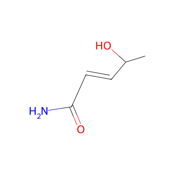 CC(O)/C=C/C(N)=O